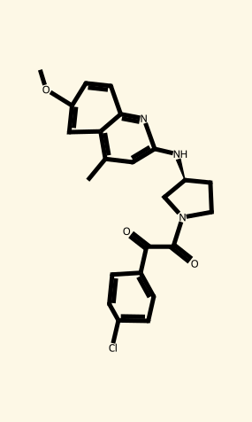 COc1ccc2nc(N[C@H]3CCN(C(=O)C(=O)c4ccc(Cl)cc4)C3)cc(C)c2c1